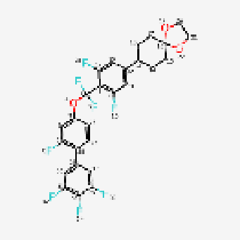 Fc1cc(OC(F)(F)c2c(F)cc(C3CCC4(CC3)OCCO4)cc2F)ccc1-c1cc(F)c(F)c(F)c1